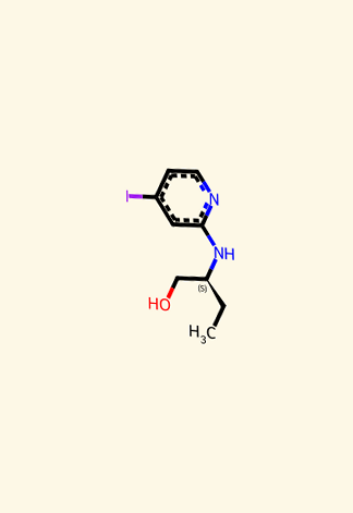 CC[C@@H](CO)Nc1cc(I)ccn1